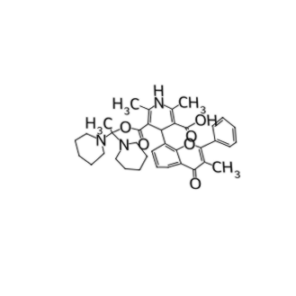 CC1=C(C(=O)O)C(c2cccc3c(=O)c(C)c(-c4ccccc4)oc23)C(C(=O)OC(C)(N2CCCCC2)N2CCCCC2)=C(C)N1